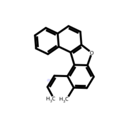 C/C=C\c1c(C)ccc2oc3ccc4ccccc4c3c12